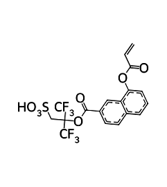 C=CC(=O)Oc1cccc2ccc(C(=O)OC(CS(=O)(=O)O)(C(F)(F)F)C(F)(F)F)cc12